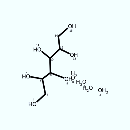 O.O.O.O.OCC(O)C(O)C(O)C(O)CO